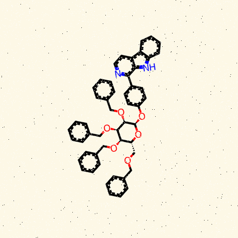 c1ccc(COC[C@H]2O[C@H](Oc3ccc(-c4nccc5c4[nH]c4ccccc45)cc3)[C@H](OCc3ccccc3)[C@H](OCc3ccccc3)[C@@H]2OCc2ccccc2)cc1